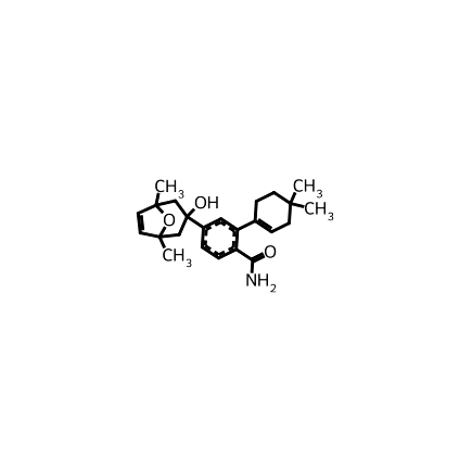 CC1(C)CC=C(c2cc(C3(O)CC4(C)C=CC(C)(C3)O4)ccc2C(N)=O)CC1